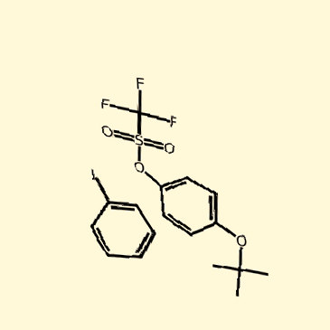 CC(C)(C)Oc1ccc(OS(=O)(=O)C(F)(F)F)cc1.Ic1ccccc1